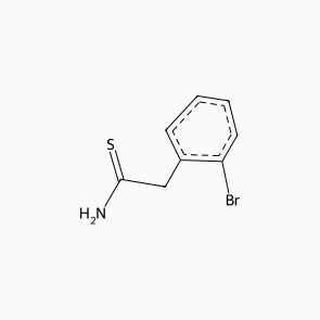 NC(=S)Cc1ccccc1Br